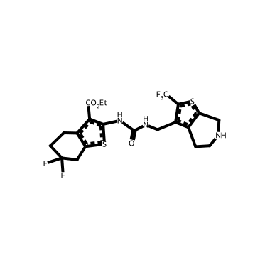 CCOC(=O)c1c(NC(=O)NCc2c(C(F)(F)F)sc3c2CCNC3)sc2c1CCC(F)(F)C2